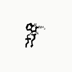 CCCCc1nc2c(N)nc3ccccc3c2n1CC(C)(C)CCC